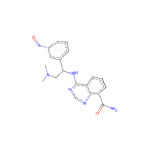 CN(C)CC(Nc1ncnc2c(C(N)=O)cccc12)c1cccc(N=O)c1